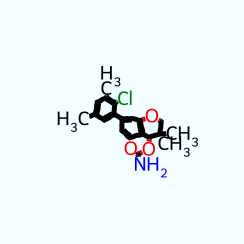 Cc1cc(C)c(Cl)c(-c2ccc3c(c2)OCC(C)(C)C3OC(N)=O)c1